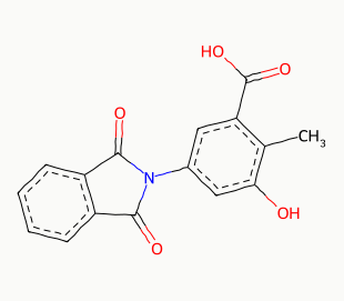 Cc1c(O)cc(N2C(=O)c3ccccc3C2=O)cc1C(=O)O